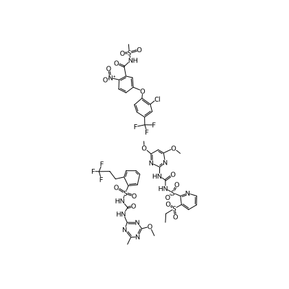 CCS(=O)(=O)c1cccnc1S(=O)(=O)NC(=O)Nc1nc(OC)cc(OC)n1.COc1nc(C)nc(NC(=O)NS(=O)(=O)c2ccccc2CCC(F)(F)F)n1.CS(=O)(=O)NC(=O)c1cc(Oc2ccc(C(F)(F)F)cc2Cl)ccc1[N+](=O)[O-]